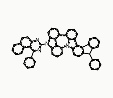 c1ccc(-c2nc(-n3c4cccc5c6cccc7c8c9c(ccc8n(c8cccc3c8c54)c67)C(c3ccccc3)c3ccccc3-9)nc3ccc4ccccc4c23)cc1